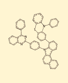 c1ccc(-c2nc(-c3ccc(-n4c5ccc6ccccc6c5c5cccc(-c6ccc7c(c6)N(c6ccccc6)c6ccccc6S7)c54)cc3)nc3ccccc23)cc1